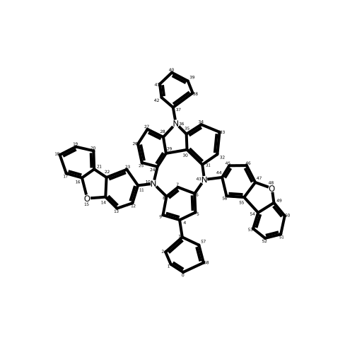 c1ccc(-c2cc3cc(c2)N(c2ccc4oc5ccccc5c4c2)c2cccc4c2c2c(cccc2n4-c2ccccc2)N3c2ccc3oc4ccccc4c3c2)cc1